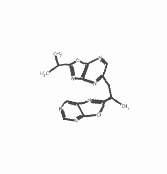 CC(C)c1nc2nc(CC(C)c3nc4cncnc4o3)cnc2o1